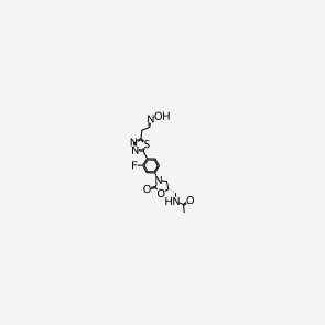 CC(=O)NC[C@H]1CN(c2ccc(-c3nnc(CC=NO)s3)c(F)c2)C(=O)O1